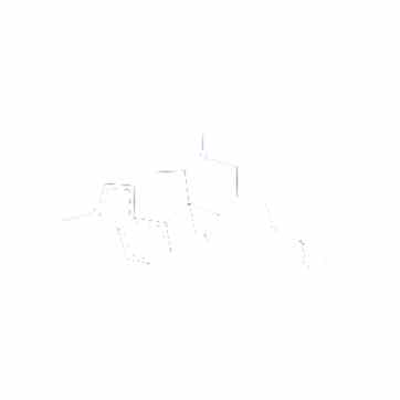 COC12C[C@@H](CNC(=S)NC(C)=O)CN(C)[C@@H]1Cc1cn(C)c3cccc2c13